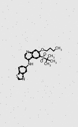 CCCCOc1cc2nccc(Nc3ccc4scnc4c3)c2cc1S(=O)(=O)C(C)(C)C